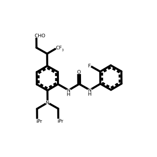 CC(C)CN(CC(C)C)c1ccc(C(CC=O)C(F)(F)F)cc1NC(=O)Nc1ccccc1F